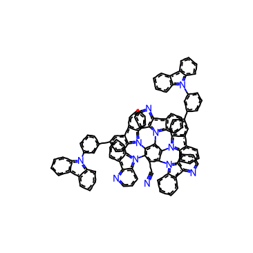 N#Cc1c(-n2c3ccccc3c3ncccc32)c(-n2c3ccccc3c3cc(-c4cccc(-n5c6ccccc6c6ccccc65)c4)ccc32)c(-n2c3ccccc3c3ncccc32)c(-n2c3ccccc3c3cc(-c4cccc(-n5c6ccccc6c6ccccc65)c4)ccc32)c1-n1c2ccccc2c2ncccc21